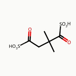 CC(C)(CC(=O)S(=O)(=O)O)C(=O)S(=O)(=O)O